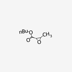 CCCCOC(=O)[C@@H]1OC1C